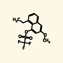 CCc1cccc2cc(OC)cc(OS(=O)(=O)C(F)(F)F)c12